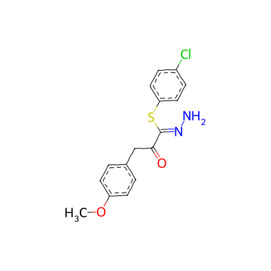 COc1ccc(CC(=O)C(=NN)Sc2ccc(Cl)cc2)cc1